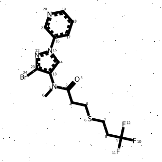 CN(C(=O)CCSCCC(F)(F)F)c1cn(-c2cccnc2)nc1Br